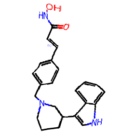 O=C(/C=C/c1ccc(CN2CCCC(c3c[nH]c4ccccc34)C2)cc1)NO